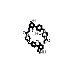 C=CC(=O)N1CCN(Cc2ccc(-c3cc(O)cc(/C=C/C(=O)N4CCN(Cc5ccc(-c6c(C)ccc7[nH]ncc67)c(Cl)c5)CC4)c3Cl)cc2O)CC1